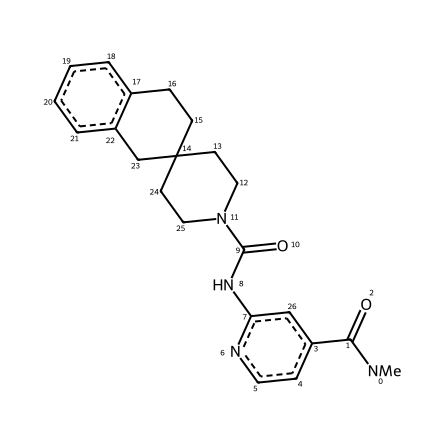 CNC(=O)c1ccnc(NC(=O)N2CCC3(CCc4ccccc4C3)CC2)c1